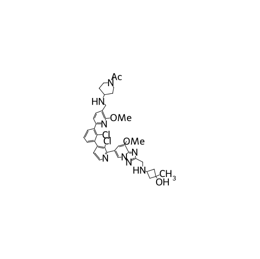 COc1nc(-c2cccc(-c3ccnc(-c4cc(OC)c5nc(CNC6CC(C)(O)C6)nn5c4)c3Cl)c2Cl)ccc1CNC1CCN(C(C)=O)CC1